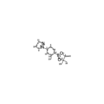 C=C1OB(c2ccc(-n3cccn3)cc2C)OC1(C)C